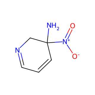 NC1([N+](=O)[O-])C=CC=NC1